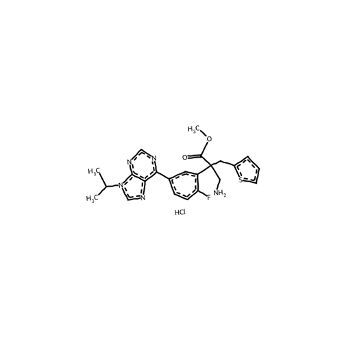 COC(=O)C(CN)(Cc1cccs1)c1cc(-c2ncnc3c2ncn3C(C)C)ccc1F.Cl